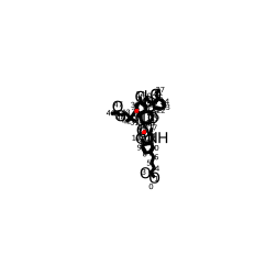 COC(=O)CCCc1ccc(OC)c(NC(=O)C[C@H]2O[C@H](c3cccc(OC)c3OC)c3cc(Cl)ccc3N(CC(C)(C)COC(C)=O)C2=O)c1